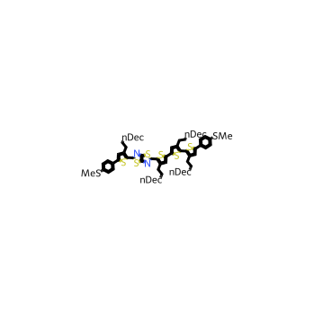 CCCCCCCCCCCCc1cc(-c2ccc(SC)cc2)sc1-c1nc2sc(-c3sc(-c4cc(CCCCCCCCCCCC)c(-c5sc(-c6ccc(SC)cc6)cc5CCCCCCCCCCCC)s4)cc3CCCCCCCCCCCC)nc2s1